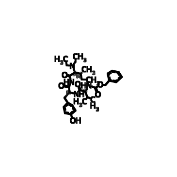 CC[C@H](C)[C@@H](C(=O)NC(=O)[C@H](Cc1ccc(O)cc1)NC(=O)[C@@H](NC(=O)OCc1ccccc1)C(C)C)N(CC)CC